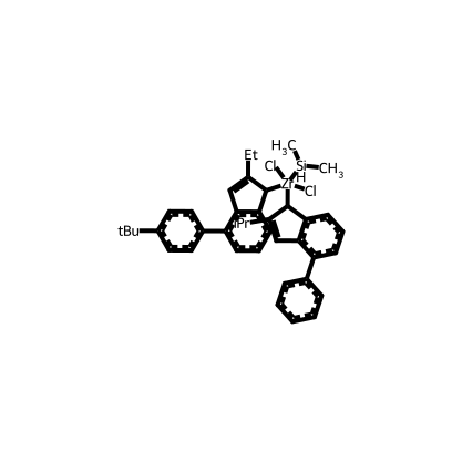 CCC1=Cc2c(-c3ccc(C(C)(C)C)cc3)cccc2[CH]1[Zr]([Cl])([Cl])([CH]1C(C(C)C)=Cc2c(-c3ccccc3)cccc21)[SiH](C)C